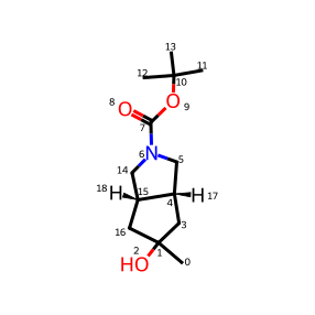 CC1(O)C[C@H]2CN(C(=O)OC(C)(C)C)C[C@H]2C1